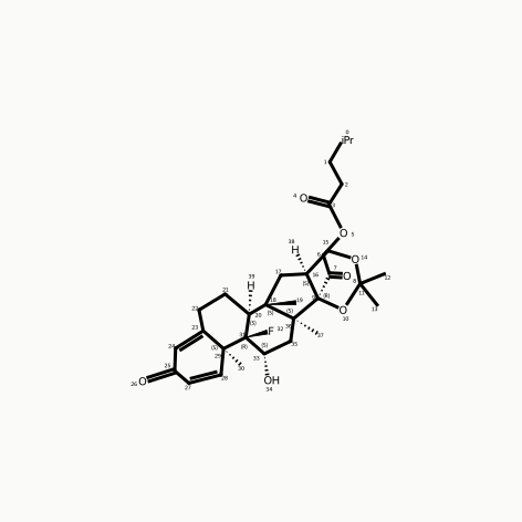 CC(C)CCC(=O)OCC(=O)[C@@]12OC(C)(C)OC[C@@H]1C[C@@]1(C)[C@@H]3CCC4=CC(=O)C=C[C@]4(C)[C@@]3(F)[C@@H](O)C[C@@]12C